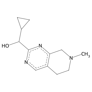 CN1CCc2cnc(C(O)C3CC3)nc2C1